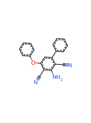 N#Cc1c(Oc2ccccc2)cc(-c2ccccc2)c(C#N)c1N